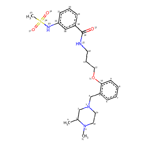 CC1CN(Cc2ccccc2OCCCNC(=O)c2cccc(NS(C)(=O)=O)c2)CCN1C